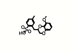 COc1cccc2c1OC(Cc1cc(C)ccc1S(=O)(=O)O)CO2